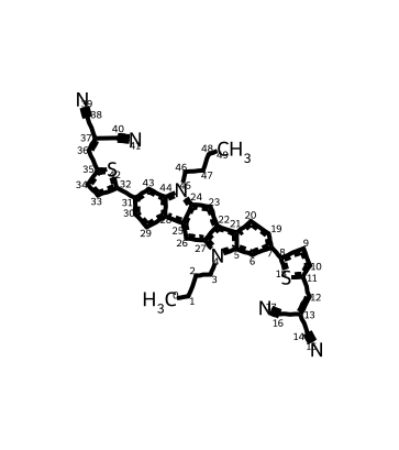 CCCCn1c2cc(-c3ccc(C=C(C#N)C#N)s3)ccc2c2cc3c(cc21)c1ccc(-c2ccc(C=C(C#N)C#N)s2)cc1n3CCCC